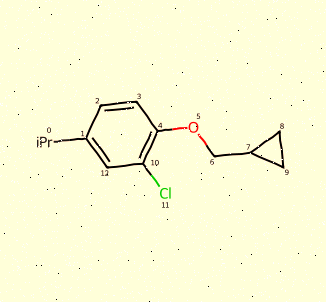 CC(C)c1ccc(OCC2CC2)c(Cl)c1